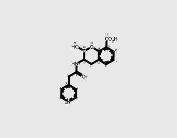 O=C(Cc1ccncc1)NC1Cc2cccc(C(=O)O)c2OB1O